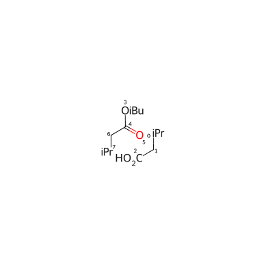 CC(C)CC(=O)O.CC(C)COC(=O)CC(C)C